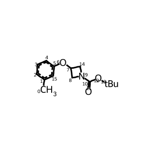 Cc1cccc(OC2CN(C(=O)OC(C)(C)C)C2)c1